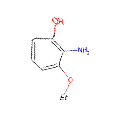 CCOc1cccc(O)c1N